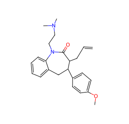 C=CCC1C(=O)N(CCN(C)C)c2ccccc2CC1c1ccc(OC)cc1